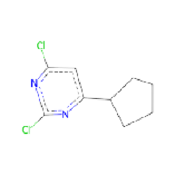 Clc1cc(C2CCCC2)nc(Cl)n1